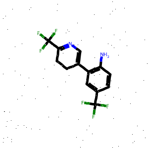 Nc1ccc(C(F)(F)F)cc1C1=CN=C(C(F)(F)F)CC1